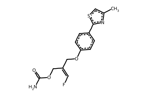 Cc1csc(-c2ccc(OCC(=CF)COC(N)=O)cc2)n1